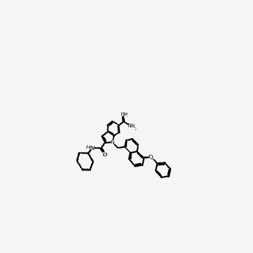 N=C(N)c1ccc2cc(C(=O)NC3CCCCC3)n(Cc3cccc4c(Oc5ccccc5)cccc34)c2c1